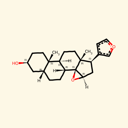 C[C@]12CC[C@H](O)C[C@H]1CC[C@@H]1[C@@H]2CC[C@]2(C)[C@@H](c3ccoc3)C[C@H]3O[C@]132